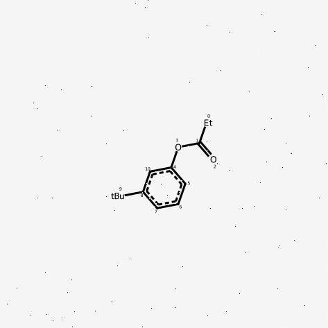 CCC(=O)Oc1cccc(C(C)(C)C)c1